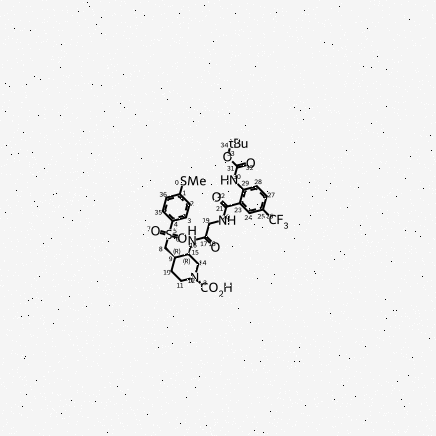 CSc1ccc(S(=O)(=O)C[C@@H]2CCN(C(=O)O)C[C@@H]2NC(=O)CNC(=O)c2cc(C(F)(F)F)ccc2NC(=O)OC(C)(C)C)cc1